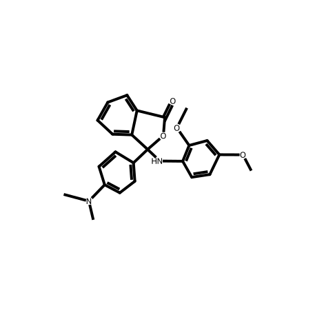 COc1ccc(NC2(c3ccc(N(C)C)cc3)OC(=O)c3ccccc32)c(OC)c1